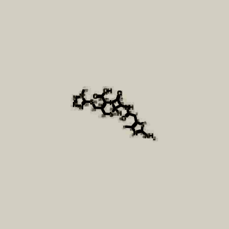 Cc1nc(N)sc1CC(=O)NC1C(=O)N2C(C(=O)O)=C(CSc3nnnn3C)CS[C@@H]12